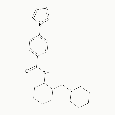 O=C(NC1CCCCC1CN1CCCCC1)c1ccc(-n2ccnc2)cc1